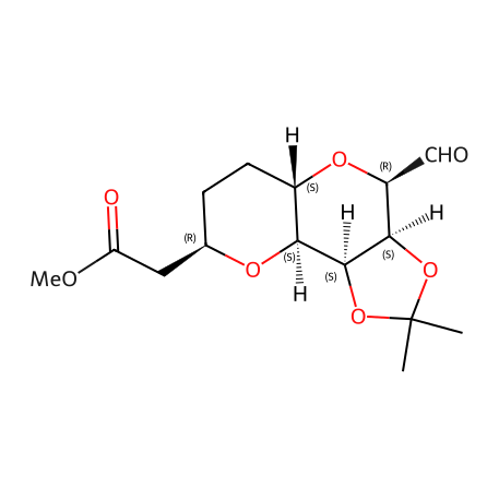 COC(=O)C[C@H]1CC[C@@H]2O[C@@H](C=O)[C@H]3OC(C)(C)O[C@H]3[C@H]2O1